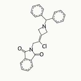 O=C1c2ccccc2C(=O)N1CC(Cl)=C1CN(C(c2ccccc2)c2ccccc2)C1